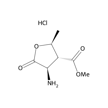 COC(=O)[C@H]1[C@H](C)OC(=O)[C@@H]1N.Cl